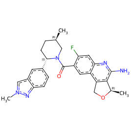 C[C@@H]1CC[C@@H](c2ccc3nn(C)cc3c2)N(C(=O)c2cc3c4c(c(N)nc3cc2F)[C@@H](C)OC4)C1